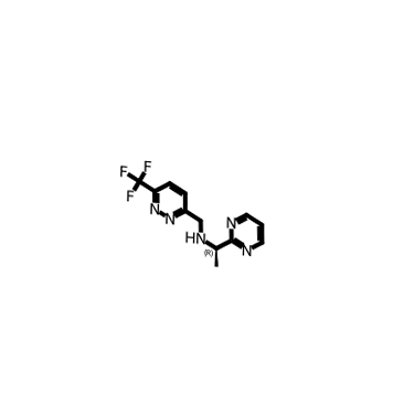 C[C@@H](NCc1ccc(C(F)(F)F)nn1)c1ncccn1